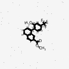 COC(=O)c1ccc2c(c1)C(c1ccc(C(F)(F)F)cc1C)=CCC2